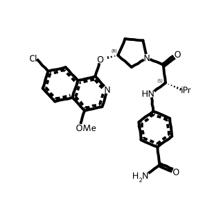 COc1cnc(O[C@@H]2CCN(C(=O)[C@@H](Nc3ccc(C(N)=O)cc3)C(C)C)C2)c2cc(Cl)ccc12